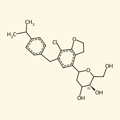 CC(C)c1ccc(Cc2cc(C3CC(O)[C@H](O)C(CO)O3)c3c(c2Cl)OCC3)cc1